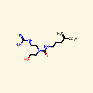 C=C(CCCNC(=O)N(CCO)CCNC(=N)N)C(=O)O